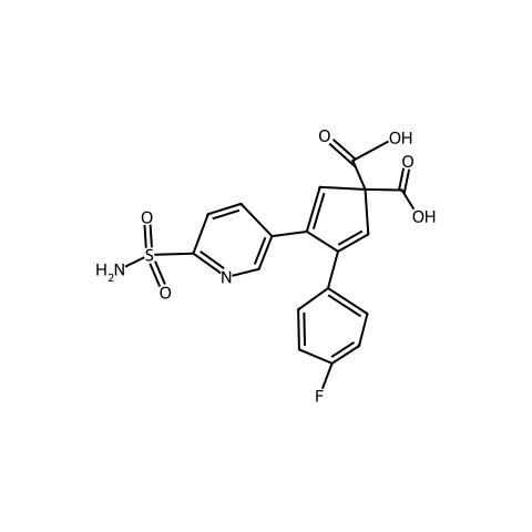 NS(=O)(=O)c1ccc(C2=CC(C(=O)O)(C(=O)O)C=C2c2ccc(F)cc2)cn1